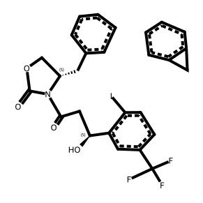 O=C(C[C@H](O)c1cc(C(F)(F)F)ccc1I)N1C(=O)OC[C@@H]1Cc1ccccc1.c1ccc2c(c1)C2